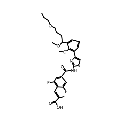 CCCOCCCC(OC)c1cccc(-c2csc(NC(=O)c3cc(F)c(C=C(C)C(=O)O)c(F)c3)n2)c1OC